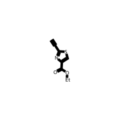 C#Cc1nc(C(=O)OCC)cs1